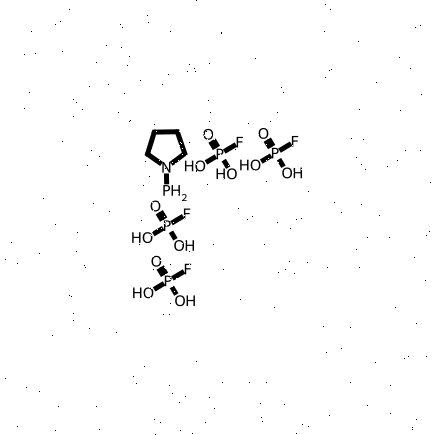 O=P(O)(O)F.O=P(O)(O)F.O=P(O)(O)F.O=P(O)(O)F.PN1CCCC1